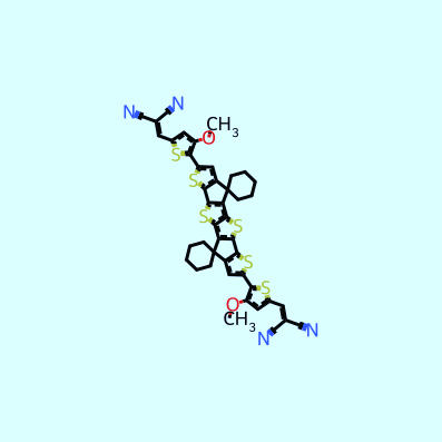 COc1cc(C=C(C#N)C#N)sc1-c1cc2c(s1)-c1sc3c4c(sc3c1C21CCCCC1)-c1sc(-c2sc(C=C(C#N)C#N)cc2OC)cc1C41CCCCC1